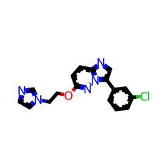 Clc1cccc(-c2cnc3ccc(OCCn4ccnc4)nn23)c1